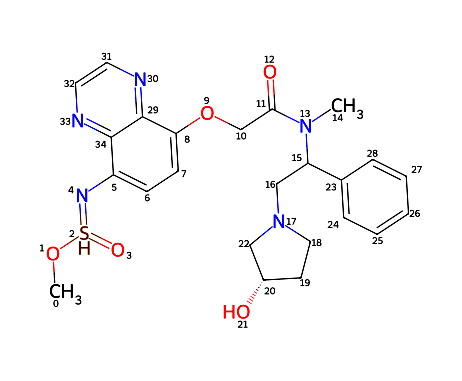 CO[SH](=O)=Nc1ccc(OCC(=O)N(C)C(CN2CC[C@H](O)C2)c2ccccc2)c2nccnc12